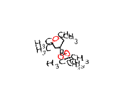 CC1(C)CC(B2OC(C)(C)C(C)(C)O2)CC(C)(C)O1